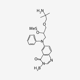 Bn1cnc2ccc(N(CC(COCC(C)(C)N)OSC)c3ccccc3)cc2c1=O